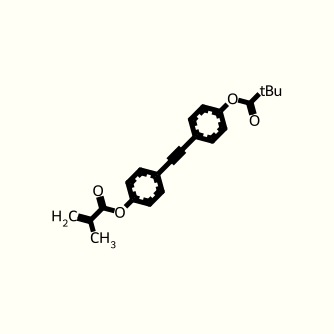 C=C(C)C(=O)Oc1ccc(C#Cc2ccc(OC(=O)C(C)(C)C)cc2)cc1